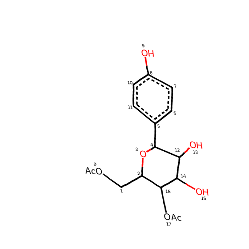 CC(=O)OCC1OC(c2ccc(O)cc2)C(O)C(O)C1OC(C)=O